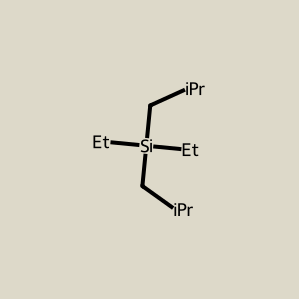 CC[Si](CC)(CC(C)C)CC(C)C